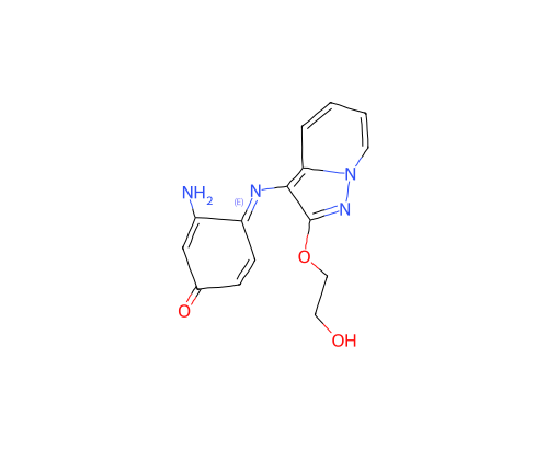 NC1=CC(=O)C=C/C1=N\c1c(OCCO)nn2ccccc12